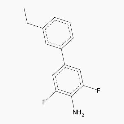 CCc1cccc(-c2cc(F)c(N)c(F)c2)c1